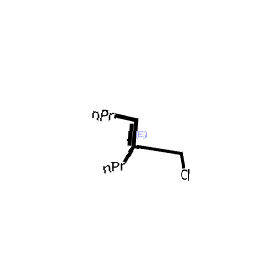 CCC/C=C(/CCl)CCC